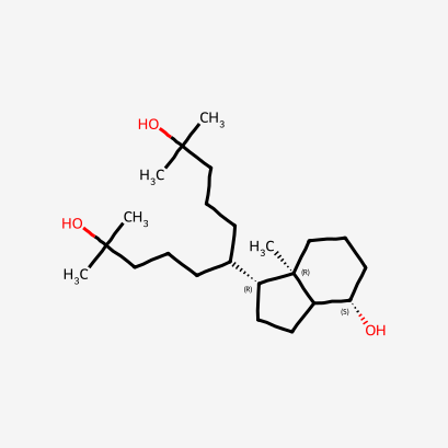 CC(C)(O)CCCC(CCCC(C)(C)O)[C@H]1CCC2[C@@H](O)CCC[C@@]21C